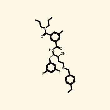 CCCN(CCC)C(=O)c1cc(C)cc(C(=O)N[C@@H](Cc2cc(F)cc(F)c2)[C@@H](O)CCNCc2ccc(CC)cc2)c1